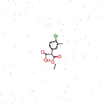 CCOC(=O)C(C(=O)O)c1ccc(Br)c(C)c1